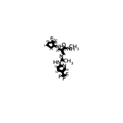 CNC(=O)/C(=C/N=C(\C)Nc1ccc(C(F)(F)F)cn1)CNC1CCCC1(F)F